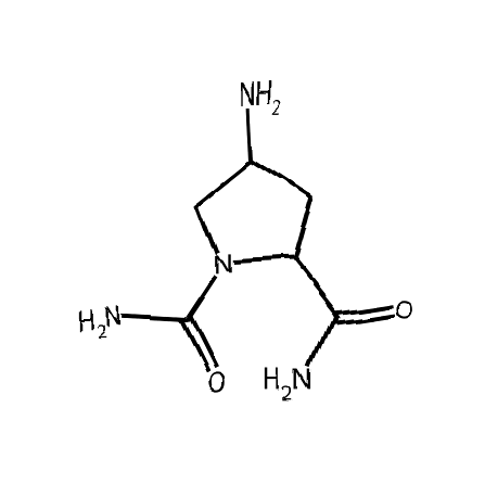 NC(=O)C1CC(N)CN1C(N)=O